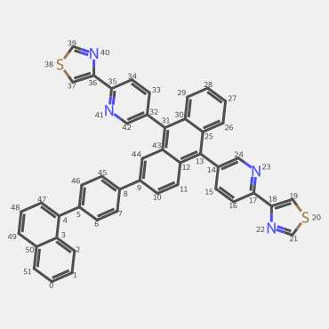 c1ccc2c(-c3ccc(-c4ccc5c(-c6ccc(-c7cscn7)nc6)c6ccccc6c(-c6ccc(-c7cscn7)nc6)c5c4)cc3)cccc2c1